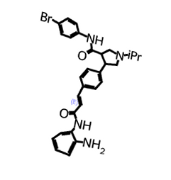 CC(C)N1CC(C(=O)Nc2ccc(Br)cc2)C(c2ccc(/C=C/C(=O)Nc3ccccc3N)cc2)C1